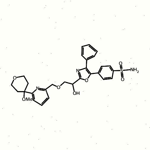 COC1(c2cccc(COCC(O)c3nc(-c4ccccc4)c(-c4ccc(S(N)(=O)=O)cc4)o3)n2)CCOCC1